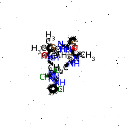 C=CCNC(=O)c1c([Si](C)(C)C)sc(C)c1C.CCNc1nc(CC)c(C(=O)NC(C#N)c2cccs2)s1.Clc1nc(Cl)nc(Nc2ccccc2Cl)n1